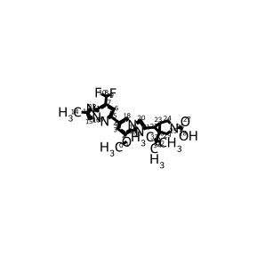 COc1cc(-c2cc(C(F)F)c3nc(C)cn3n2)cn2cc(C3C4CN(C(=O)O)CC43C(C)(C)C)nc12